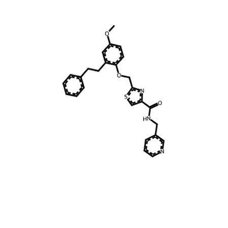 COc1ccc(OCc2nc(C(=O)NCc3cccnc3)cs2)c(CCc2ccccc2)c1